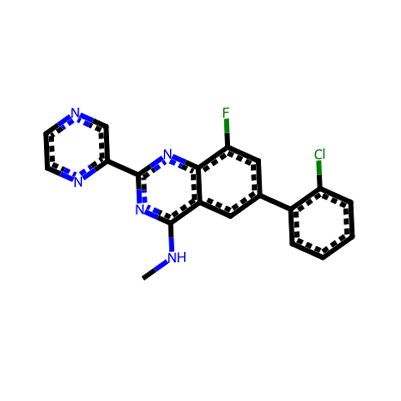 CNc1nc(-c2cnccn2)nc2c(F)cc(-c3ccccc3Cl)cc12